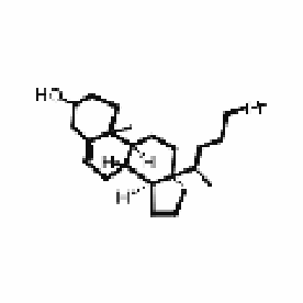 CC(C)CCC[C@@H](C)[C@@]12CCC[C@H]1[C@@H]1CC=C3C[C@@H](O)CC[C@]3(C)[C@H]1CC2